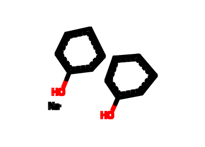 Oc1ccccc1.Oc1ccccc1.[Na]